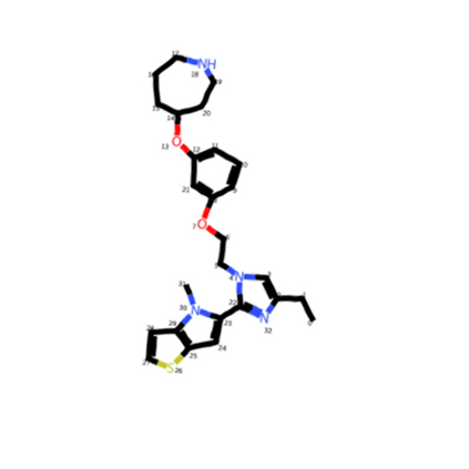 CCc1cn(CCOc2cccc(OC3CCCNCC3)c2)c(-c2cc3sccc3n2C)n1